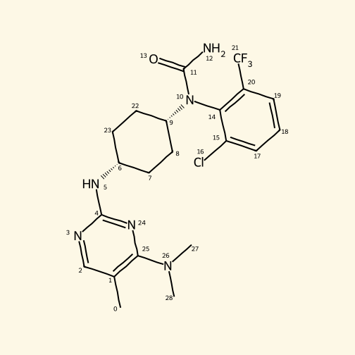 Cc1cnc(N[C@H]2CC[C@@H](N(C(N)=O)c3c(Cl)cccc3C(F)(F)F)CC2)nc1N(C)C